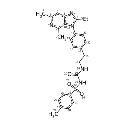 CCc1nc2cc(C)nc(C)c2n1-c1ccc(CCNC(=O)NS(=O)(=O)c2ccc(C)cc2)cc1